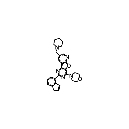 C1=Cc2c(cccc2-c2nc(N3CCOCC3)c3oc4ncc(CN5CCCCC5)cc4c3n2)C1